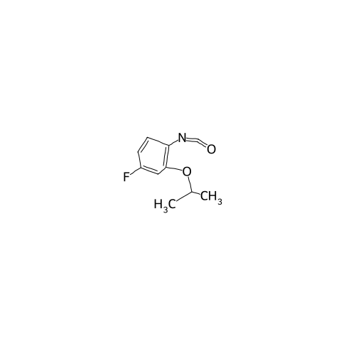 CC(C)Oc1cc(F)ccc1N=C=O